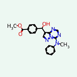 COC(=O)c1ccc(C(O)c2cnn3c(N(C)c4ccccc4)ncnc23)cc1